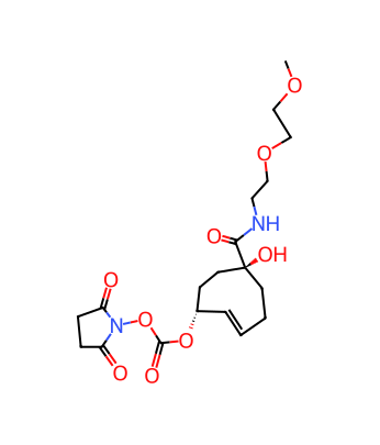 COCCOCCNC(=O)[C@]1(O)CC/C=C/[C@H](OC(=O)ON2C(=O)CCC2=O)CC1